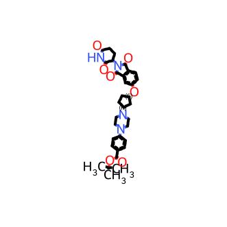 CC(C)(C)OC(=O)c1ccc(N2CCN([C@@H]3CC[C@H](Oc4ccc5c(c4)C(=O)N(C4CCC(=O)NC4=O)C5=O)C3)CC2)cc1